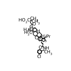 CC(C)C1=C2[C@H]3CC[C@@H]4[C@@]5(C)CC[C@H](OC(=O)CC(C)(C)C(=O)O)C(C)(C)C5CC[C@@]4(C)[C@]3(C)CC[C@@]2(/C=C/C(=O)N[C@@H](C)c2cccc(Cl)c2)CC1